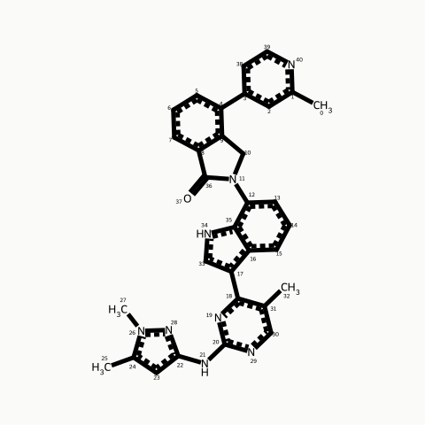 Cc1cc(-c2cccc3c2CN(c2cccc4c(-c5nc(Nc6cc(C)n(C)n6)ncc5C)c[nH]c24)C3=O)ccn1